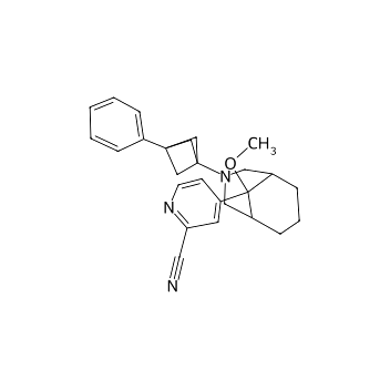 COC1(c2ccnc(C#N)c2)C2CCCC1CN(C13CC(c4ccccc4)(C1)C3)C2